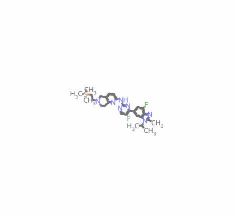 Cc1nc2c(F)cc(-c3nc(Nc4ccc5c(n4)CCN(CCS(C)(C)C)C5)ncc3F)cc2n1C(C)C